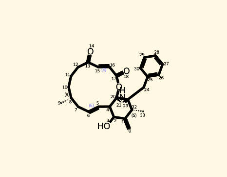 C=C1C(O)C2/C=C/C[C@H](C)CCCC(=O)/C=C/C(=O)O[C@]23CNC(Cc2ccccc2)C3[C@@H]1C